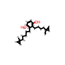 CCC1(CCCCc2c(O)ccc(O)c2CCCCCC2(C)CC2)CC1